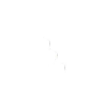 CCCC[P](=O)CC